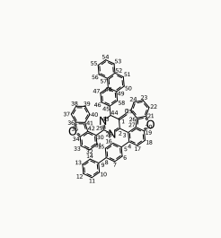 C=C1C(c2c(-c3ccc(-c4ccccc4)cc3)ccc3oc4ccccc4c23)=NC(c2cccc3oc4ccccc4c23)=NC1c1ccc2c(ccc3ccccc32)c1